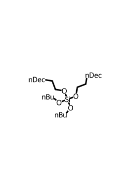 CCCCCCCCCCCCO[Si](OCCCC)(OCCCC)OCCCCCCCCCCCC